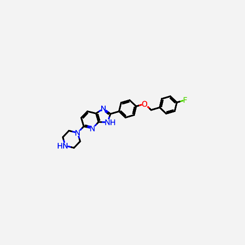 Fc1ccc(COc2ccc(-c3nc4ccc(N5CCNCC5)nc4[nH]3)cc2)cc1